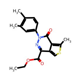 CCOC(=O)c1nn(-c2ccc(C)c(C)c2)c(=O)c2c(C)scc12